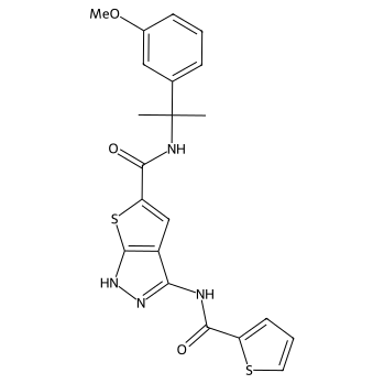 COc1cccc(C(C)(C)NC(=O)c2cc3c(NC(=O)c4cccs4)n[nH]c3s2)c1